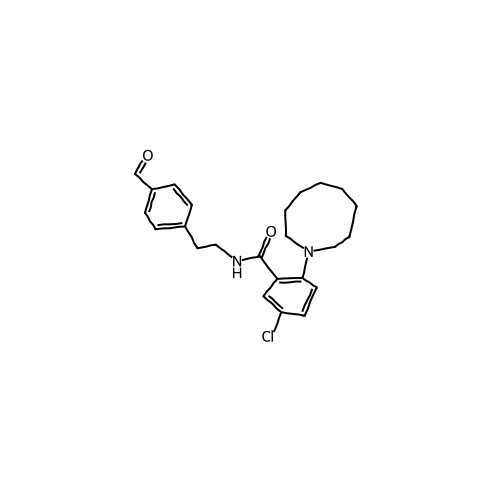 O=Cc1ccc(CCNC(=O)c2cc(Cl)ccc2N2CCCCCCCC2)cc1